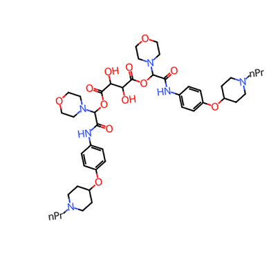 CCCN1CCC(Oc2ccc(NC(=O)C(OC(=O)C(O)C(O)C(=O)OC(C(=O)Nc3ccc(OC4CCN(CCC)CC4)cc3)N3CCOCC3)N3CCOCC3)cc2)CC1